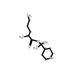 CCCCC(C)C(=O)OC(C)(C)C1CCNCC1